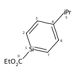 CCOC(=O)[si]1ccc(C(C)C)cc1